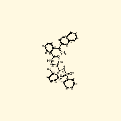 C=C(c1ccc2ccccc2c1)c1ccccc1C(=O)N[C@@H](Cc1ccccc1)C(=O)CNS(=O)(=O)c1ccccc1